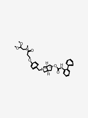 COC(CN(C)C(=O)CCOc1ccc(CN2C[C@H]3C[C@H](OC(=O)Nc4ccccc4-c4ccccc4)C[C@H]3C2)cc1)OC